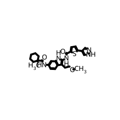 COCCc1c(NC(=O)c2ccc(-c3cn[nH]c3)s2)[nH]c2cc(NC(=O)C3(C)CCCCC3)ccc12